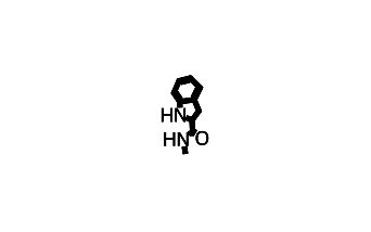 CNC(=O)C1Cc2ccccc2N1